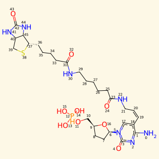 Nc1nc(=O)n([C@H]2CC[C@@H](CO[PH](O)(O)O)O2)cc1/C=C\CNC(=O)CCCCCNC(=O)CCCC[C@@H]1SCC2NC(=O)NC21